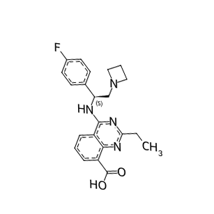 CCc1nc(N[C@H](CN2CCC2)c2ccc(F)cc2)c2cccc(C(=O)O)c2n1